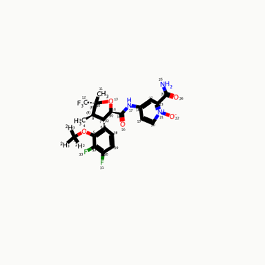 [2H]C([2H])([2H])Oc1c([C@@H]2[C@@H](C)[C@](C)(C(F)(F)F)O[C@H]2C(=O)Nc2cc[n+]([O-])c(C(N)=O)c2)ccc(F)c1F